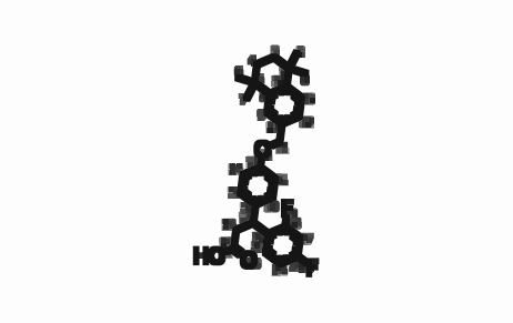 CC1(C)CCC(C)(C)c2cc(COc3ccc(C(CC(=O)O)c4ccc(F)cc4F)cc3)ccc21